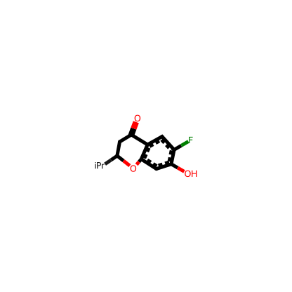 CC(C)C1CC(=O)c2cc(F)c(O)cc2O1